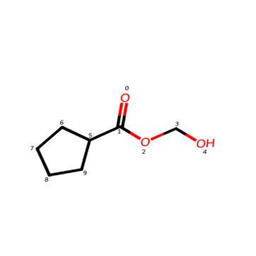 O=C(OCO)C1CCCC1